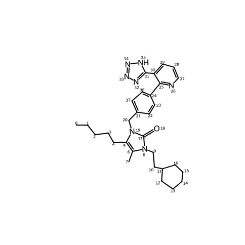 CCCCCc1c(C)n(CCC2CCCCC2)c(=O)n1Cc1ccc(-c2ncccc2-c2nnn[nH]2)cc1